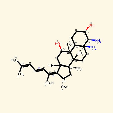 CC(=O)O[C@H]1C[C@@]2(C)[C@@H](C[C@@H](O)[C@@H]3[C@]2(C)CC[C@@]2(N)[C@H](N)[C@H](O)CC[C@]32C)/C1=C(\C=C\C=C(C)C)C(=O)O